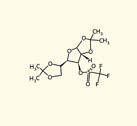 CC1(C)OCC([C@H]2OC3OC(C)(C)O[C@@H]3[C@H]2OS(=O)(=O)C(F)(F)F)O1